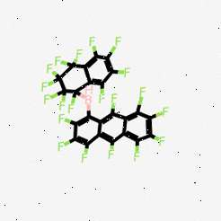 Fc1c(F)c(F)c2c(c1F)C(F)(F)C(F)(F)C(F)(F)C2(F)Bc1c(F)c(F)c(F)c2c(F)c3c(F)c(F)c(F)c(F)c3c(F)c12